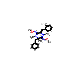 CCON=C1/C(=C/c2ccccc2C#N)N(C)C(=NOCC)C(C)(Cc2ccccc2)N1C